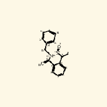 CC([S+]=O)c1ccccc1C(=O)NCc1ccccc1